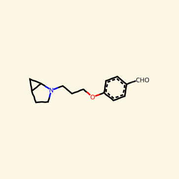 O=Cc1ccc(OCCCN2CCC3CC32)cc1